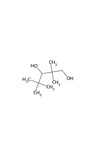 CC(C)(C)C(O)C(C)(C)CO